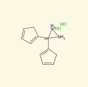 C1=CC[C]([Hf]2([C]3=CC=CC3)[SiH2][SiH2]2)=C1.Cl.Cl